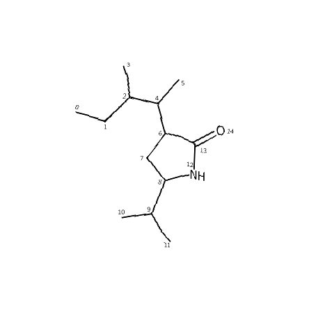 CCC(C)C(C)C1CC(C(C)C)NC1=O